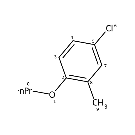 CC[CH]Oc1ccc(Cl)cc1C